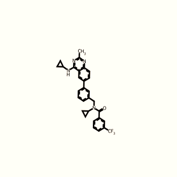 Cc1nc(NC2CC2)c2cc(-c3cccc(CN(C(=O)c4cccc(C(F)(F)F)c4)C4CC4)c3)ccc2n1